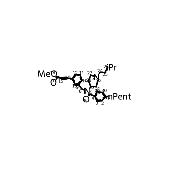 CCCCCc1ccc(C(=O)N(Cc2cccc(C#CC(=O)OC)c2)C2CCN(CCC(C)C)CC2)cc1